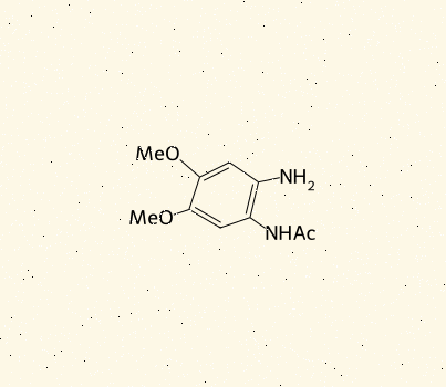 COc1cc(N)c(NC(C)=O)cc1OC